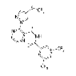 CC(NC(=O)c1cc(C(F)(F)F)cc(C(F)(F)F)c1)c1nccnc1-n1cc(SC(F)(F)F)cn1